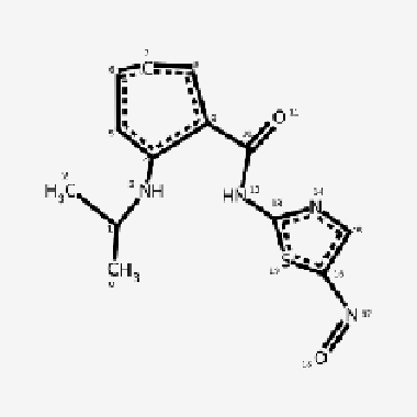 CC(C)Nc1ccccc1C(=O)Nc1ncc(N=O)s1